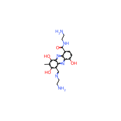 Cc1c(O)c(C=NCCN)c2nc3c(O)ccc(C(=O)NCCN)c3nc2c1O